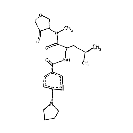 CC(C)CC(NC(=O)c1ccc(N2CCCC2)cc1)C(=O)N(C)C1COCC1=O